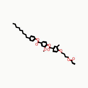 C=CC(=O)OCCCCOc1ccc(C(=O)Oc2ccc(C(=O)Oc3ccc(CCCCCCCCC)cc3)cc2OC)cc1C